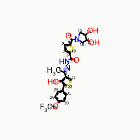 C/C(=N\NC(=O)c1ccc(C(=O)N2CC(O)C(O)C2)s1)c1csc(-c2ccc(OC(F)(F)F)cc2)c1O